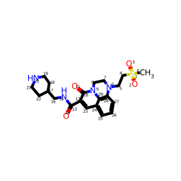 CS(=O)(=O)CCN1CCn2c(=O)c(C(=O)NCC3CCNCC3)cc3cccc1c32